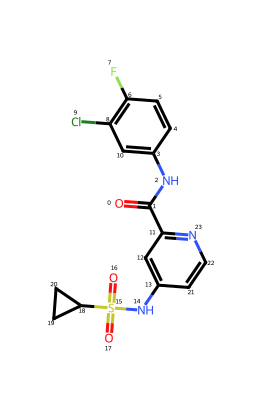 O=C(Nc1ccc(F)c(Cl)c1)c1cc(NS(=O)(=O)C2CC2)ccn1